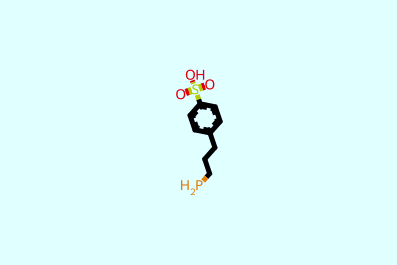 O=S(=O)(O)c1ccc(CCCP)cc1